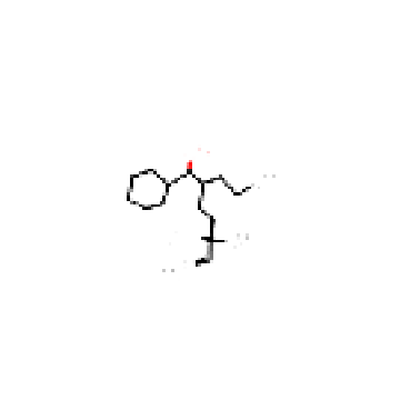 C=CC(C)(C)CCC(CCC)C(O)C1CCCCC1